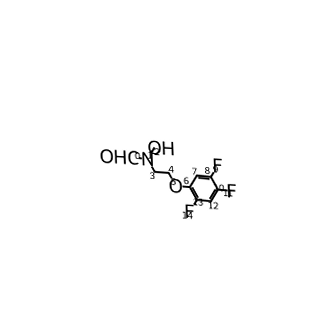 O=CN(O)CCOc1cc(F)c(F)cc1F